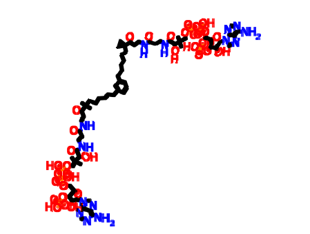 CC(C)(CCCCCCc1cccc(CCCCCCC2(C(=O)CCNC(=O)CCNC(=O)C(O)C(C)(C)COP(=O)(O)OP(=O)(O)OCC3OC(n4cnc5c(N)ncnc54)C(O)C3OP(=O)(O)O)CC2)c1)C(=O)CCNC(=O)CCNC(=O)C(O)C(C)(C)COP(=O)(O)OP(=O)(O)OCC1OC(n2cnc3c(N)ncnc32)C(O)C1OP(=O)(O)O